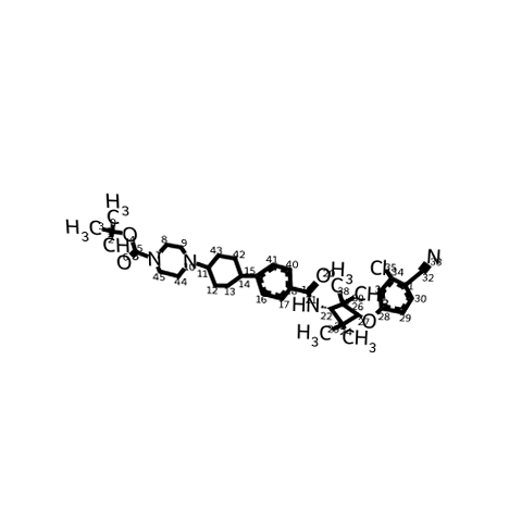 CC(C)(C)OC(=O)N1CCN(C2CCC(c3ccc(C(=O)N[C@H]4C(C)(C)[C@H](Oc5ccc(C#N)c(Cl)c5)C4(C)C)cc3)CC2)CC1